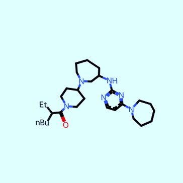 CCCCC(CC)C(=O)N1CCC(N2CCCCC(Nc3nccc(N4CCCCCC4)n3)C2)CC1